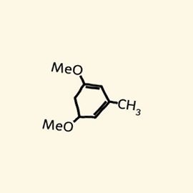 COC1=CC(C)=CC(OC)C1